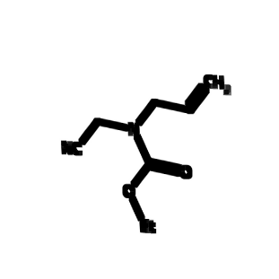 C=CCN(CC#N)C(=O)OCC